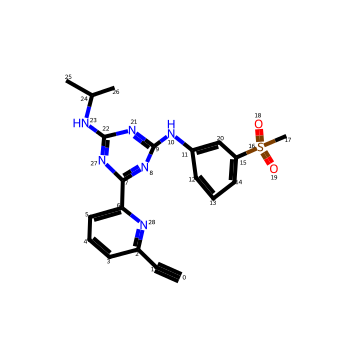 C#Cc1cccc(-c2nc(Nc3cccc(S(C)(=O)=O)c3)nc(NC(C)C)n2)n1